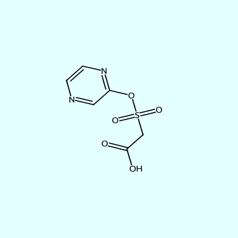 O=C(O)CS(=O)(=O)Oc1cnccn1